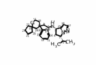 CC(C)[C@@H]1C[C@H](NCCC2(c3ccccn3)CCOC3(CCCC3)C2)c2ccnn21